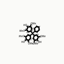 COc1cc(C(c2ccccc2)(c2cc(OC)c(O)c(OC)c2)c2cc(OC)c(O)c(OC)c2)cc(OC)c1O